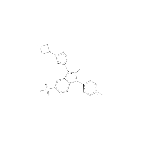 Cc1c(-c2cn(C3COC3)cn2)c2cc(S(N)(=O)=O)ccc2n1-c1ccc(C(F)(F)F)cc1